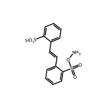 NOS(=O)(=O)c1ccccc1C=Cc1ccccc1S(=O)(=O)O